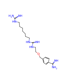 N=C(N)NCCCCCCCNC(=N)NCCOCc1ccc(C(=N)N)cc1